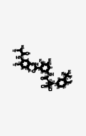 O=C(Nc1cc(NC(=O)C(F)F)c(F)cc1F)c1cc(NC(=O)[C@H]2[C@H](c3ccc(F)c(C(F)(F)F)c3)C2(Cl)Cl)cc(F)c1F